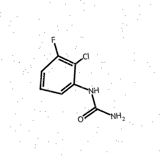 NC(=O)Nc1cccc(F)c1Cl